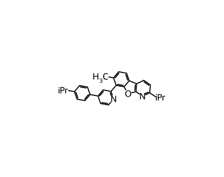 Cc1ccc2c(oc3nc(C(C)C)ccc32)c1-c1cc(-c2ccc(C(C)C)cc2)ccn1